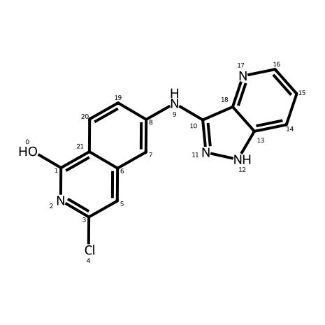 Oc1nc(Cl)cc2cc(Nc3n[nH]c4cccnc34)ccc12